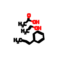 C=C=Cc1ccccc1.C=CO.CC(=O)O